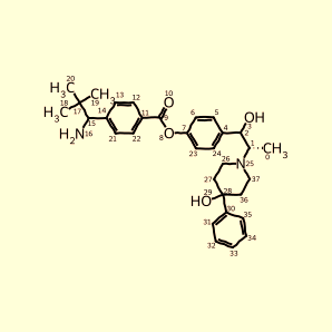 C[C@@H](C(O)c1ccc(OC(=O)c2ccc(C(N)C(C)(C)C)cc2)cc1)N1CCC(O)(c2ccccc2)CC1